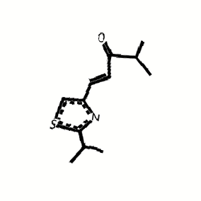 CC(C)C(=O)C=Cc1csc(C(C)C)n1